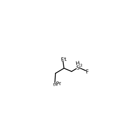 CCCCC(CC)C[SiH2]F